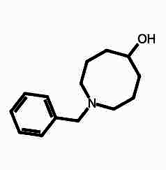 OC1CCCN(Cc2ccccc2)CCC1